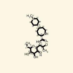 CSC1O[C@H]([C@H](NC(=O)[C@@H]2CC[C@H](C3CCN(C)CC3)CCN2)[C@H](C)Cl)C(O)C(O)[C@H]1O